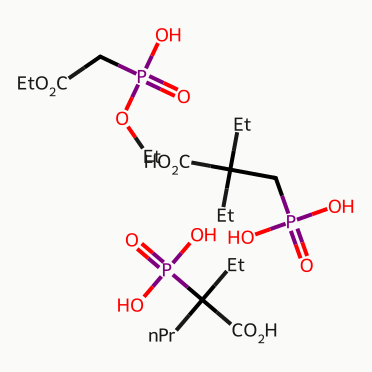 CCC(CC)(CP(=O)(O)O)C(=O)O.CCCC(CC)(C(=O)O)P(=O)(O)O.CCOC(=O)CP(=O)(O)OCC